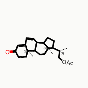 CC(=O)OC[C@@H](C)C1CCC2C3C=CC4=CC(=O)CC[C@]4(C)C3CC[C@@]21C